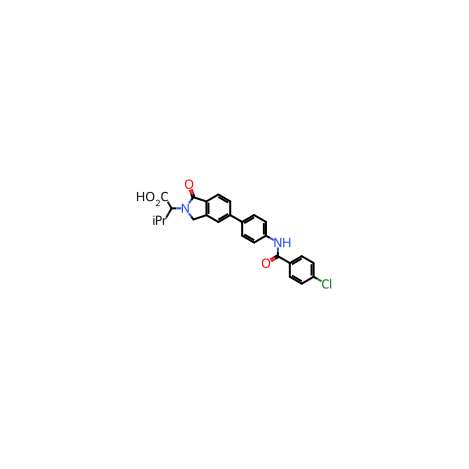 CC(C)C(C(=O)O)N1Cc2cc(-c3ccc(NC(=O)c4ccc(Cl)cc4)cc3)ccc2C1=O